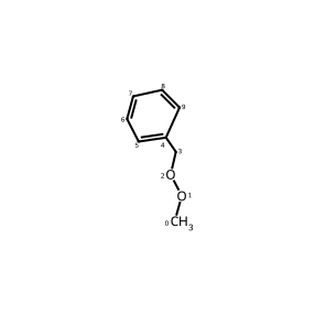 COOCc1ccccc1